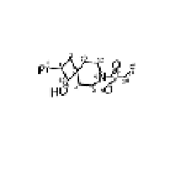 CC(C)C1CC2(CCN(S(=O)(=O)CF)CC2)C1O